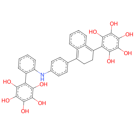 Oc1c(O)c(O)c(C2=c3ccccc3=C(c3ccc(Nc4ccccc4-c4c(O)c(O)c(O)c(O)c4O)cc3)CC2)c(O)c1O